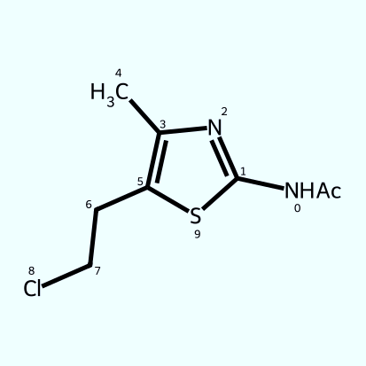 CC(=O)Nc1nc(C)c(CCCl)s1